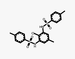 Cc1ccc(S(=O)(=O)Nc2cc(C)cc(NS(=O)(=O)c3ccc(C)cc3)c2Cl)cc1